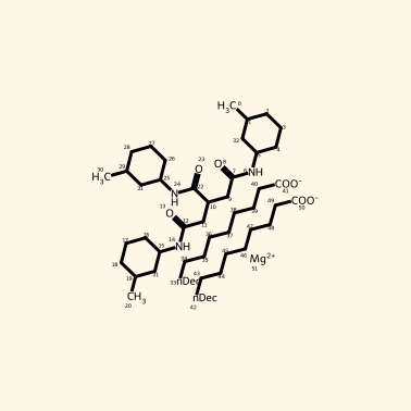 CC1CCCC(NC(=O)CC(CC(=O)NC2CCCC(C)C2)C(=O)NC2CCCC(C)C2)C1.CCCCCCCCCCCCCCCCCC(=O)[O-].CCCCCCCCCCCCCCCCCC(=O)[O-].[Mg+2]